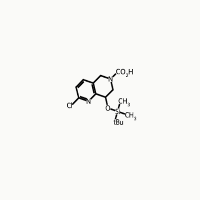 CC(C)(C)[Si](C)(C)OC1CN(C(=O)O)Cc2ccc(Cl)nc21